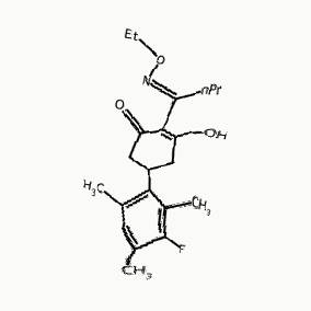 CCCC(=NOCC)C1=C(O)CC(c2c(C)cc(C)c(F)c2C)CC1=O